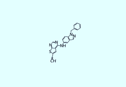 C#Cc1cc2c(Nc3ccc4c(cnn4Cc4ccccc4)c3)ncnc2s1